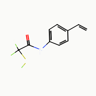 C=Cc1ccc(NC(=O)C(F)(F)SF)cc1